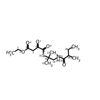 CCOC(=O)CC(=O)C(=O)SC(C)(C)CNC(=O)C(C)CC